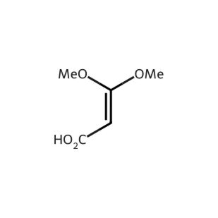 COC(=CC(=O)O)OC